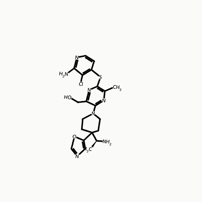 Cc1nc(N2CCC(c3cnco3)([C@H](C)N)CC2)c(CO)nc1Sc1ccnc(N)c1Cl